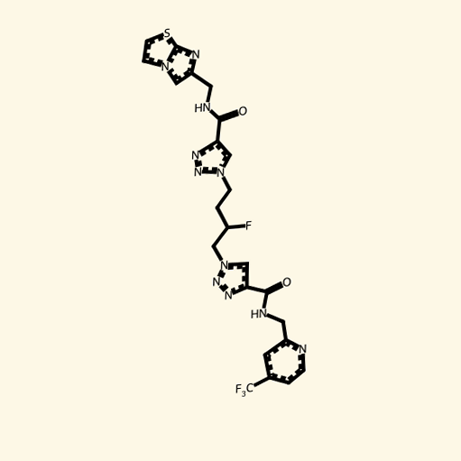 O=C(NCc1cn2ccsc2n1)c1cn(CCC(F)Cn2cc(C(=O)NCc3cc(C(F)(F)F)ccn3)nn2)nn1